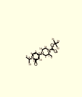 CC1CN(c2ccn(C(C)C)c(=O)c2)CCN1C(=O)OC(C)(C)C